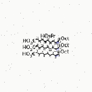 CCCCCCCC/C=C\CCCCCCCC(=O)O.CCCCCCCC/C=C\CCCCCCCC(=O)O.CCCCCCCC/C=C\CCCCCCCC(=O)O.CCCO